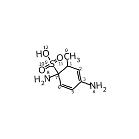 CC1C=C(N)C=CC1(N)S(=O)(=O)O